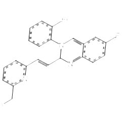 OCc1cccc(C=CC2N=c3ccc(F)cc3=CN2c2ccccc2Br)n1